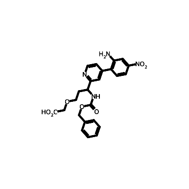 Nc1cc([N+](=O)[O-])ccc1-c1ccnc(C(CCOCC(=O)O)NC(=O)OCc2ccccc2)c1